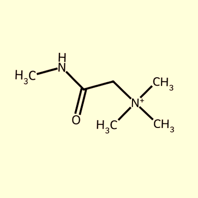 CNC(=O)C[N+](C)(C)C